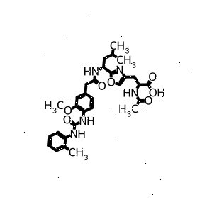 COc1cc(CC(=O)NC(CC(C)C)c2nc(CC(NC(C)=O)C(=O)O)co2)ccc1NC(=O)Nc1ccccc1C